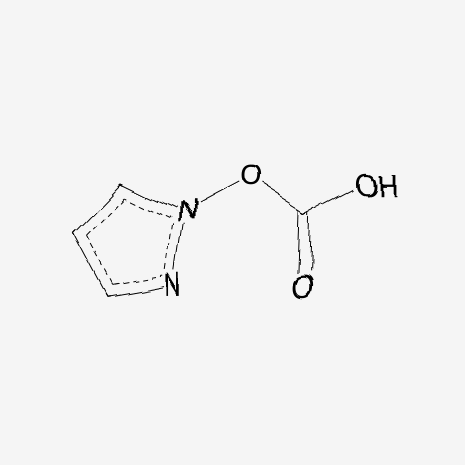 O=C(O)On1cccn1